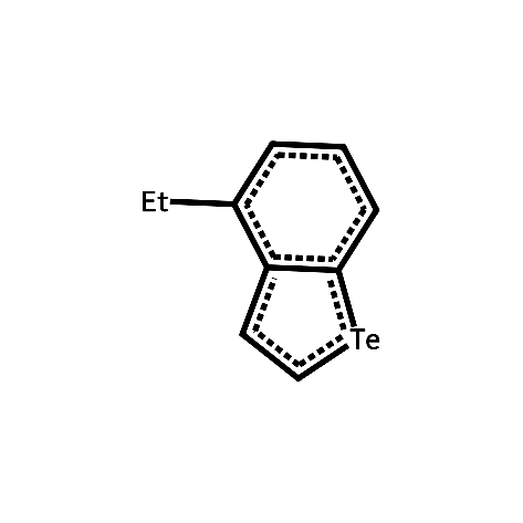 CCc1cccc2[te]ccc12